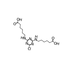 O=C(O)CCCCCNc1nc(Cl)nc(NCCCCCC(=O)O)n1